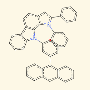 c1ccc(-c2cc3ccc4c5ccccc5n(-c5cccc(-c6c7ccccc7cc7ccccc67)c5)c4c3n2-c2ccccc2)cc1